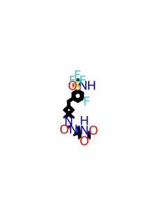 N=S(=O)(c1cc(F)cc(CC2CC3(C2)CN(C(=O)N2CC4(COCC(=O)N4)C2)C3)c1)C(F)(F)F